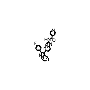 O=C(Nc1cn2nc(-c3c(-c4ccc(F)cc4)nn4c3COCC4)ccc2n1)c1ccncc1